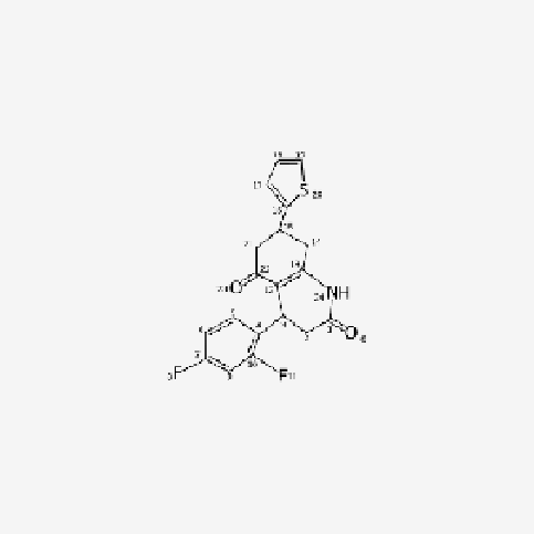 O=C1CC(c2ccc(F)cc2F)C2=C(CC(c3cccs3)CC2=O)N1